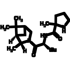 C[C@@H]1[C@@H]2CC(CN1C(=O)[C@@H](NC(=O)C1(C)CCCN1)C(C)(C)C)C2(C)C